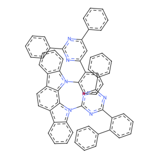 c1ccc(-c2cc(-c3ccccc3-n3c4ccccc4c4ccc5c6ccccc6n(-c6nc(-c7ccccc7)nc(-c7ccccc7-c7ccccc7)n6)c5c43)nc(-c3ccccc3)n2)cc1